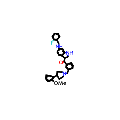 COc1ccccc1C1CCN(Cc2cccc(C(=O)C3CNc4cc(NCc5ccccc5F)ccc43)c2)CC1